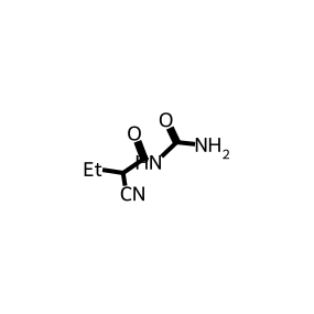 CCC(C#N)C(=O)NC(N)=O